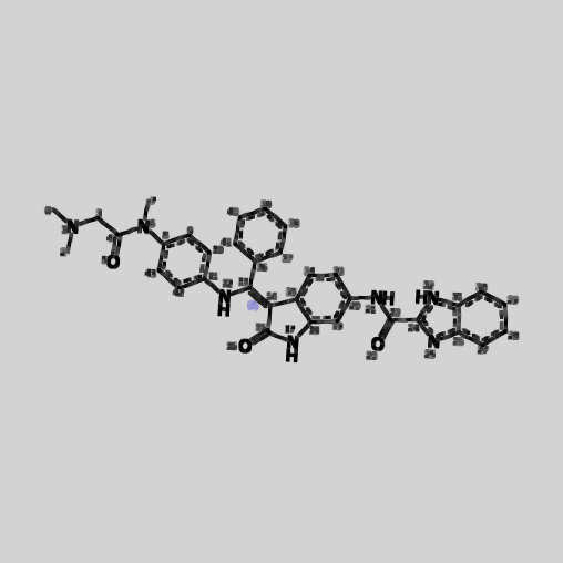 CN(C)CC(=O)N(C)c1ccc(N/C(=C2\C(=O)Nc3cc(NC(=O)c4nc5ccccc5[nH]4)ccc32)c2ccccc2)cc1